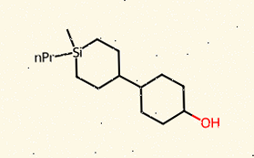 CCC[Si]1(C)CCC(C2CCC(O)CC2)CC1